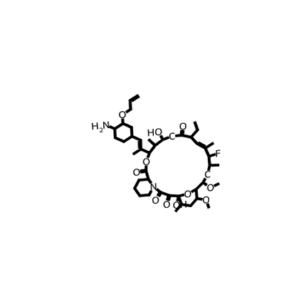 C=CCOC1CC(C=C(C)C2OC(=O)C3CCCCN3C(=O)C(=O)C3(O)OC(C(OC)CC(C)C(F)/C(C)=C/C(CC)C(=O)CC(O)C2C)C(OC)CC3C)CCC1N